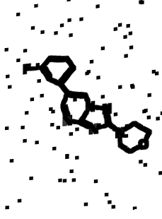 Fc1cccc(-c2cnc3nc(N4CCOCC4)nn3c2)c1